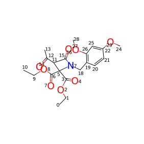 CCOC(=O)C1(C(=O)OCC)C(C(C)=O)C(=O)N1Cc1ccc(OC)cc1OC